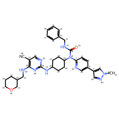 Cn1cc(-c2ccc(N(C(=O)NCc3ccccc3)C3CCC(Nc4ncc(C#N)c(NCC5CCCOC5)n4)CC3)nc2)cn1